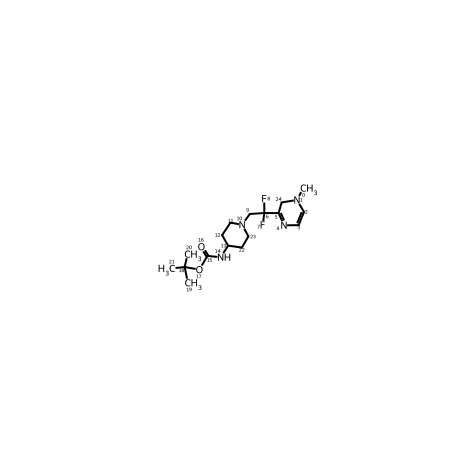 CN1C=CN=C(C(F)(F)CN2CCC(NC(=O)OC(C)(C)C)CC2)C1